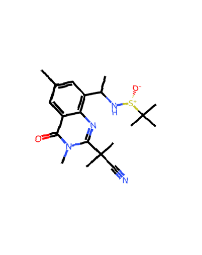 Cc1cc(C(C)N[S@+]([O-])C(C)(C)C)c2nc(C(C)(C)C#N)n(C)c(=O)c2c1